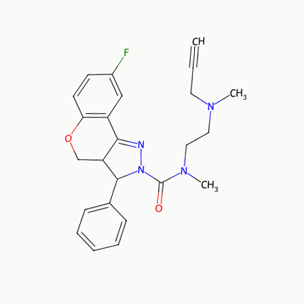 C#CCN(C)CCN(C)C(=O)N1N=C2c3cc(F)ccc3OCC2C1c1ccccc1